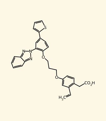 C=Cc1cc(OCCCOc2ccc(-c3cccs3)cc2-n2nc3ccccc3n2)ccc1CC(=O)O